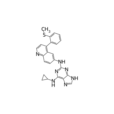 CSc1ccccc1-c1ccnc2ccc(Nc3nc(NC4CC4)c4nc[nH]c4n3)cc12